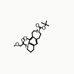 COCC(=O)N1CCCc2cc3c(c(Cl)c21)CCN(C(=O)OC(C)(C)C)CC3